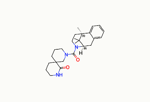 CC1(C)[C@H]2Cc3ccccc3[C@]1(C)CCN2C(=O)N1CCCC2(CCCNC2=O)C1